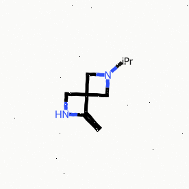 C=C1NCC12CN(C(C)C)C2